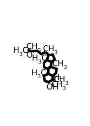 CC(CCC1OC1(C)C)C1CC[C@@]2(C)C3=C(CC[C@]12C)[C@@]1(C)CC[C@H](O)C(C)(C)[C@@H]1CC3